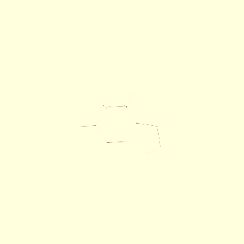 Cc1cc2c(c(=O)[nH]1)C(O)CO2